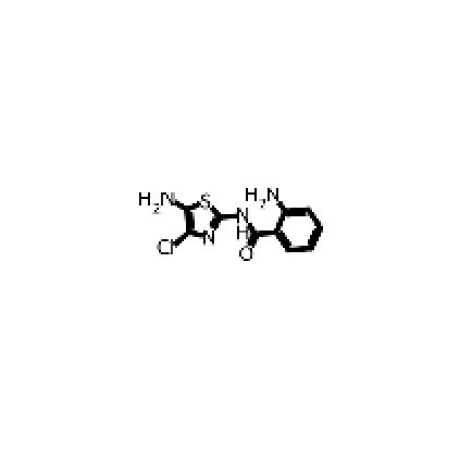 Nc1ccccc1C(=O)Nc1nc(Cl)c(N)s1